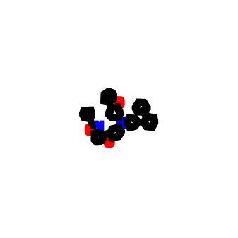 c1ccc(-c2nc3c(ccc4oc5ccc(N(c6ccc(-c7ccccc7-c7ccccc7)cc6)c6ccc7c(c6)oc6ccccc67)cc5c43)o2)cc1